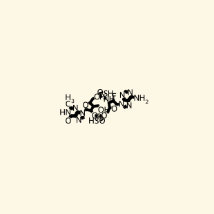 Cc1nc2c(ncn2C2OC3CO[P@](=O)(S)NC4C(CO[P@@](=O)(S)OC2C3CO)OC(n2cnc3c(N)ncnc32)C4F)c(=O)[nH]1